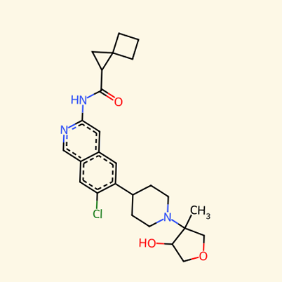 CC1(N2CCC(c3cc4cc(NC(=O)C5CC56CCC6)ncc4cc3Cl)CC2)COCC1O